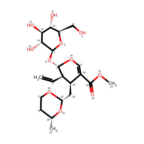 C=C[C@H]1[C@H](O[C@@H]2O[C@H](CO)[C@@H](O)[C@H](O)[C@H]2O)OC=C(C(=O)OC)[C@H]1C[C@H]1OCC[C@@H](C)O1